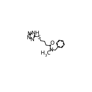 CN(Cc1ccccc1)C(=O)CCCSc1nnn[nH]1